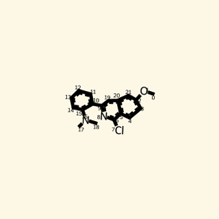 COc1ccc2c(Cl)nc(-c3ccccc3N(C)C)cc2c1